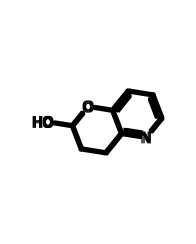 OC1CCc2ncccc2O1